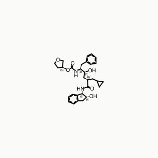 O=C(N[C@@H](Cc1ccccc1)[C@@H](O)C[C@@H](CC1CC1)C(=O)N[C@H]1c2ccccc2C[C@H]1O)O[C@H]1CCOC1